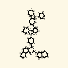 c1ccc(-n2c3ccccc3c3ccc(-c4cccc5c4c4ccccc4n5-c4ccc(-c5nc(-c6ccc7ccccc7c6)nc6c5ccc5ccccc56)cc4)cc32)cc1